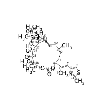 C/C1=C/CC(/C(C)=C/c2csc(C)n2)OC(=O)C[C@H](C)C(C)(C)C(=O)C(C)[C@@H](O[Si](C)(C)C(C)(C)C)[C@@H](C)/C=C/C1